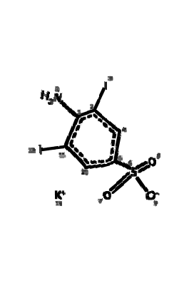 Nc1c(I)cc(S(=O)(=O)[O-])cc1I.[K+]